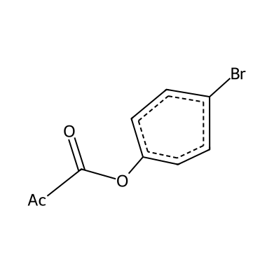 CC(=O)C(=O)Oc1ccc(Br)cc1